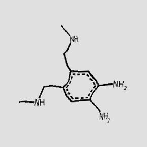 CNCc1cc(N)c(N)cc1CNC